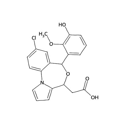 COc1c(O)cccc1C1OC(CC(=O)O)c2cccn2-c2ccc(Cl)cc21